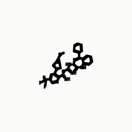 COC1C2CN(c3cc(C(F)(F)F)cnc3C(=N)OC(=N)N[C@H]3N=C(c4ccccc4)c4ccccc4NC3=O)CC21